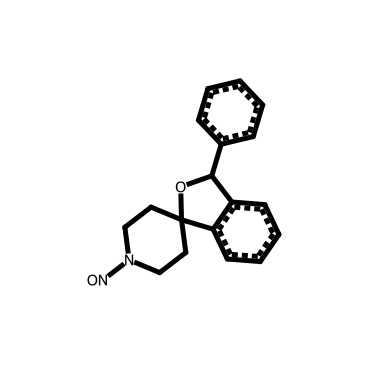 O=NN1CCC2(CC1)OC(c1ccccc1)c1ccccc12